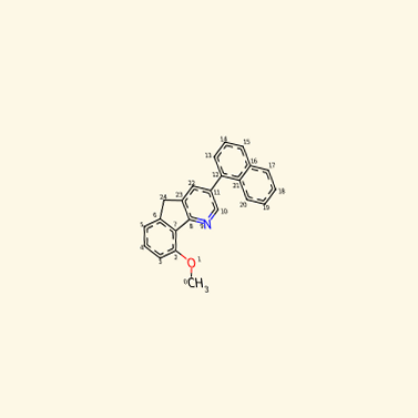 COc1cccc2c1-c1ncc(-c3cccc4ccccc34)cc1C2